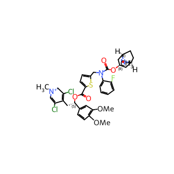 COc1ccc([C@H](Cc2c(Cl)c[n+](C)cc2Cl)OC(=O)c2ccc(CN(C(=O)O[C@H]3C[C@H]4CC[C@@H](C3)N4C)c3ccccc3F)s2)cc1OC